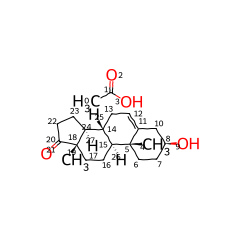 CC(=O)O.C[C@]12CC[C@H](O)CC1=CC[C@@H]1[C@@H]2CC[C@]2(C)C(=O)CC[C@@H]12